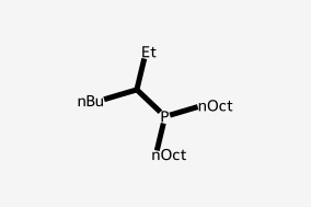 CCCCCCCCP(CCCCCCCC)C(CC)CCCC